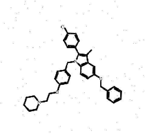 Cc1c(-c2ccc(Cl)cc2)n(Cc2ccc(OCCN3CCCCC3)cc2)c2ccc(OCc3ccccc3)cc12